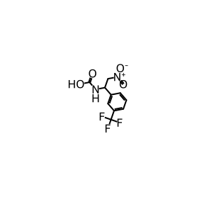 O=C(O)NC(C[N+](=O)[O-])c1cccc(C(F)(F)F)c1